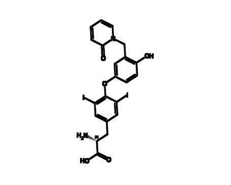 N[C@H](Cc1cc(I)c(Oc2ccc(O)c(Cn3ccccc3=O)c2)c(I)c1)C(=O)O